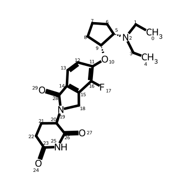 CCN(CC)[C@H]1CCC[C@H]1Oc1ccc2c(c1F)CN(C1CCC(=O)NC1=O)C2=O